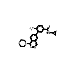 Cc1ccc(C(=S)NC2CC2)cc1-c1ccc2c(N3CCOCC3)nncc2c1